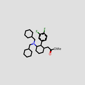 COC(=O)CC1CCCC(N(CC2CCCCC2)CC2CCCCC2)C1c1ccc(F)c(F)c1